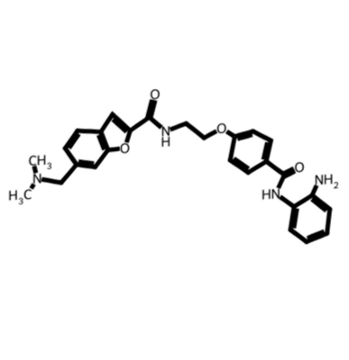 CN(C)Cc1ccc2cc(C(=O)NCCOc3ccc(C(=O)Nc4ccccc4N)cc3)oc2c1